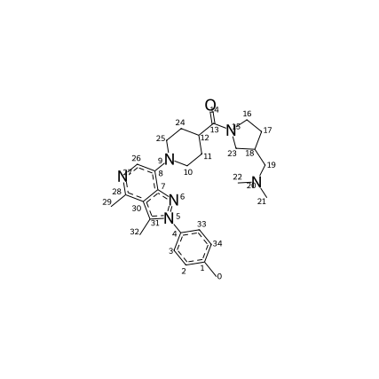 Cc1ccc(-n2nc3c(N4CCC(C(=O)N5CCC(CN(C)C)C5)CC4)cnc(C)c3c2C)cc1